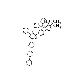 CC(C)(C)c1ccc2c(c1)[Si](c1ccccc1)(c1ccccc1)c1cc(-c3nc(-c4ccccc4)nc(-c4ccc(-c5ccc(-c6ccccc6)cc5)cc4)n3)ccc1-2